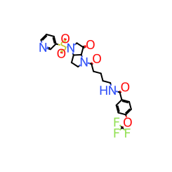 O=C(NCCCCC(=O)N1CCC2C1C(=O)CN2S(=O)(=O)c1cccnc1)c1ccc(OC(F)(F)F)cc1